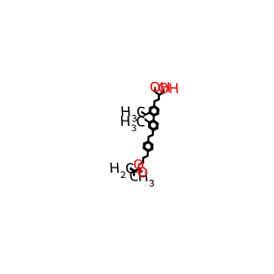 C=C(C)C(=O)OCCCc1ccc(CCc2ccc(-c3ccc(CCC(CO)CO)cc3CC)c(CC)c2)cc1